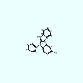 Ic1ccc2c(c1)n1c3ccccc3nc1n2-c1ccccc1